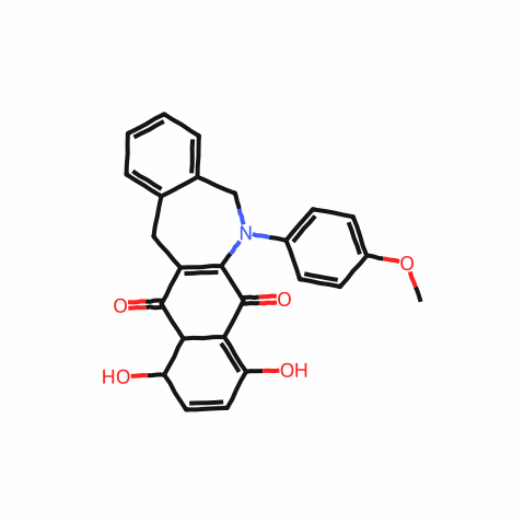 COc1ccc(N2Cc3ccccc3CC3=C2C(=O)C2=C(O)C=CC(O)C2C3=O)cc1